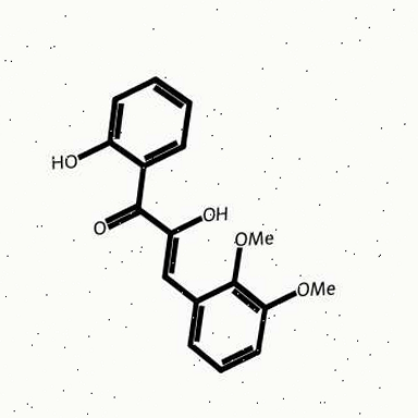 COc1cccc(C=C(O)C(=O)c2ccccc2O)c1OC